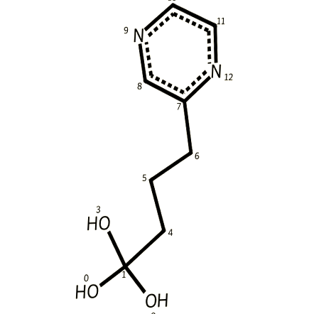 OC(O)(O)CCCc1cnccn1